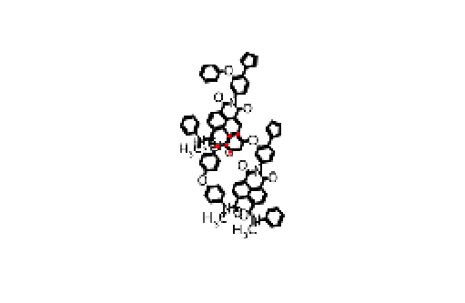 CN(C(=O)c1ccc2c3c(ccc(C(=O)N(C)c4ccc(Oc5ccc(N(C)C(=O)c6ccc7c8c(ccc(C(=O)N(C)c9ccccc9)c68)C(=O)N(c6ccc(C8C=CC=C8)c(Oc8ccccc8)c6)C7=O)cc5)cc4)c13)C(=O)N(c1ccc(C3=CC=CC3)c(Oc3ccccc3)c1)C2=O)c1ccccc1